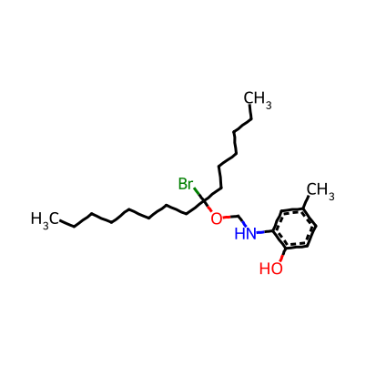 CCCCCCCCC(Br)(CCCCCC)OCNc1cc(C)ccc1O